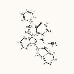 Bc1cc2c(c3oc4ccccc4c13)-c1ccccc1C2(O)c1ccccc1Oc1ccccc1